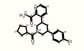 CCc1ccc(C2CC(c3cccnc3C(N)=O)CN(C(=O)C3CCCC3)C2)cc1